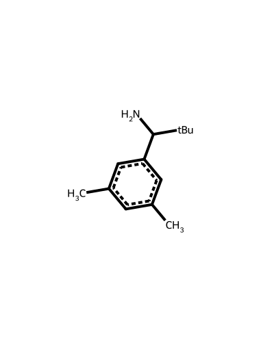 Cc1cc(C)cc(C(N)C(C)(C)C)c1